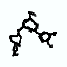 CC(=O)N1CCN(Sc2nc(-c3ccc(Cl)c(Cl)c3)nc(C(Cl)(Cl)Cl)n2)CC1